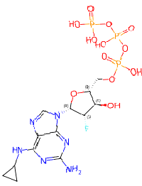 Nc1nc(NC2CC2)c2ncn([C@@H]3O[C@H](COP(=O)(O)OP(=O)(O)OP(=O)(O)O)[C@@H](O)[C@@H]3F)c2n1